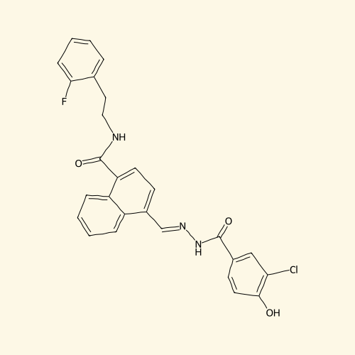 O=C(N/N=C/c1ccc(C(=O)NCCc2ccccc2F)c2ccccc12)c1ccc(O)c(Cl)c1